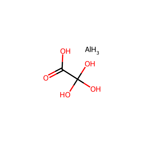 O=C(O)C(O)(O)O.[AlH3]